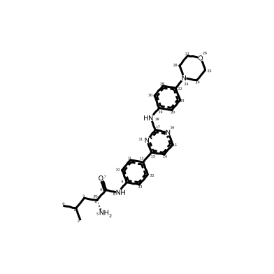 CC(C)C[C@@H](N)C(=O)Nc1ccc(-c2ccnc(Nc3ccc(N4CCOCC4)cc3)n2)cc1